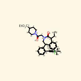 CCOC(=O)C1CCN(C(=O)CN2CC(c3ccccc3C#C[Si](C)(C)C)c3cc(Cl)ccc3C(CC(C)C)C2=O)CC1